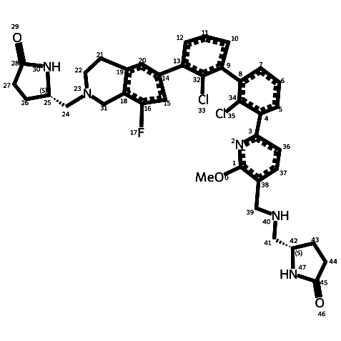 COc1nc(-c2cccc(-c3cccc(-c4cc(F)c5c(c4)CCN(C[C@@H]4CCC(=O)N4)C5)c3Cl)c2Cl)ccc1CNC[C@@H]1CCC(=O)N1